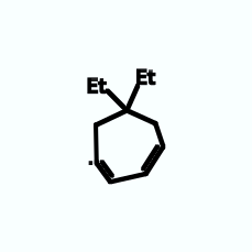 CCC1(CC)C[C]=CC=CC1